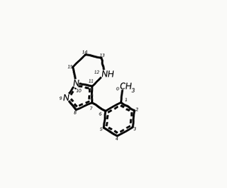 Cc1ccccc1-c1cnn2c1NCCC2